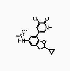 Cn1cc(-c2cc(N[S+](C)[O-])cc3c2OC(C2CC2)C3)cc(Cl)c1=O